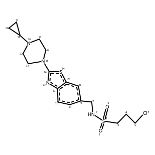 O=S(=O)(CCCCl)NCc1ccc2nc(N3CCN(C4CC4)CC3)sc2c1